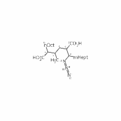 CCCCCCCCC(C(=O)O)C(C)CC(C(=O)O)C(CCCCCCC)N=[N+]=[N-]